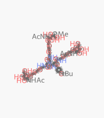 COC(CO)C(O)C(O)C(NC(C)=O)OCCOCCOCCNC(=O)CN(CC(=O)NCCOCCOCCOC1OC(CO)C(O)C(O)C1NC(C)=O)C(=O)C(CCC(=O)NCCOCCOCCOC1OC(CO)C(O)C(O)C1NC(C)=O)NC(=O)[C@H]1CC[C@@H](OC(C)(C)C)CC1